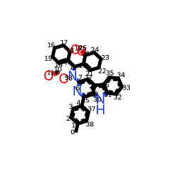 Cc1ccc(-c2nc(N(OC=O)C(C3=CCCCC3=O)C3=CCCCC3=O)cc3c2[nH]c2ccccc23)cc1